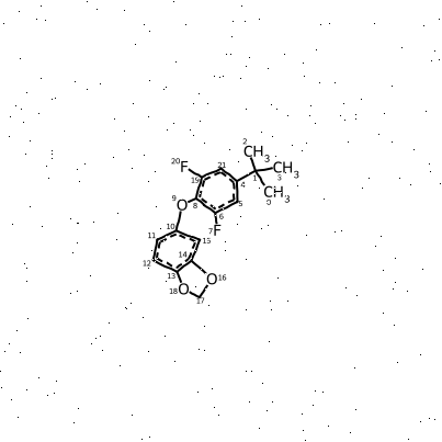 CC(C)(C)c1cc(F)c(Oc2ccc3c(c2)OCO3)c(F)c1